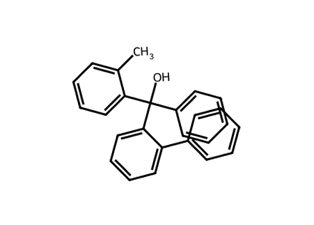 Cc1ccccc1C(O)(c1ccccc1)c1ccccc1-c1ccccc1